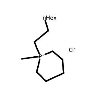 CCCCCCCC[P+]1(C)CCCCC1.[Cl-]